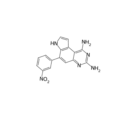 Nc1nc(N)c2c(cc(-c3cccc([N+](=O)[O-])c3)c3[nH]ccc32)n1